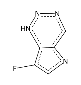 Fc1cnc2cnn[nH]c1-2